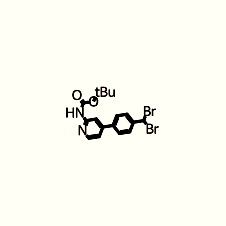 CC(C)(C)OC(=O)Nc1cc(-c2ccc(C(Br)Br)cc2)ccn1